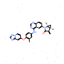 C=C1C(=O)N(c2ccc3ncnc(Nc4ccc(Oc5ccn6ncnc6c5)c(C)c4)c3c2)[C@H]2C[C@@H]12